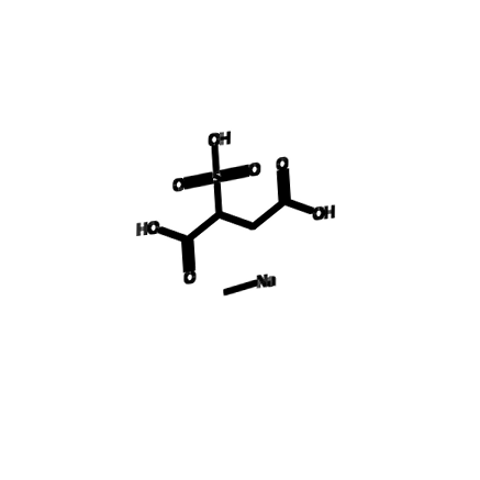 O=C(O)CC(C(=O)O)S(=O)(=O)O.[CH3][Na]